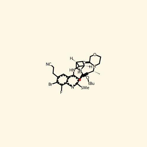 CSc1nc2c(F)c(Br)c(CCC#N)cc2c(N[C@H]2[C@@H]3C[C@H]2N(C(=O)OC(C)(C)C)C3)c1C#C[C@@H](C)N1CCOCC1=O